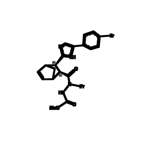 COC(=O)NN(C(=O)[C@H]1C2C=CC(C2)[C@H]1c1ncc(-c2ccc(Br)cc2)[nH]1)C(C)C